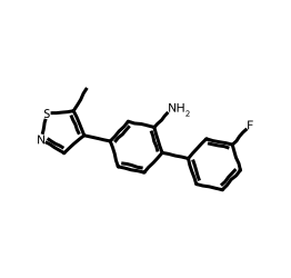 Cc1sncc1-c1ccc(-c2cccc(F)c2)c(N)c1